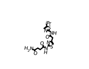 CC(C)c1cnc(NC(=O)Cc2csc(NC(=O)CCC(N)=O)n2)s1